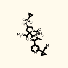 Cc1nc(C2(C(N)=O)CC(NS(=O)(=O)C3CC3)CN2C(N)=O)sc1-c1ccnc(C2(C#N)CC2)c1